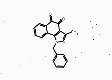 Cc1nn(Cc2ccccc2)c2c1C(=O)C(=O)c1ccccc1-2